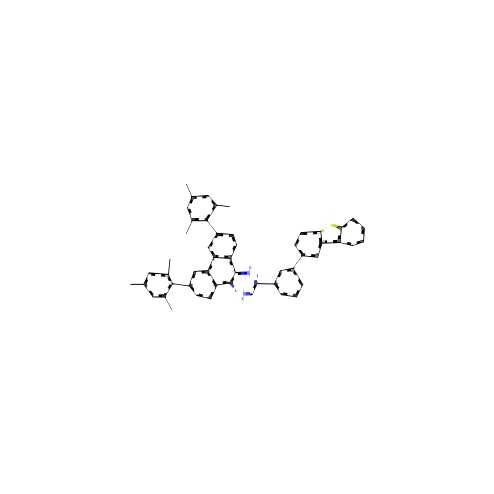 Cc1cc(C)c(-c2ccc3c(c2)c2cc(-c4c(C)cc(C)cc4C)ccc2c2nc(-c4cccc(-c5ccc6sc7ccccc7c6c5)c4)cnc32)c(C)c1